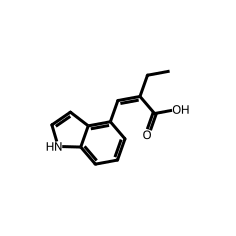 CCC(=Cc1cccc2[nH]ccc12)C(=O)O